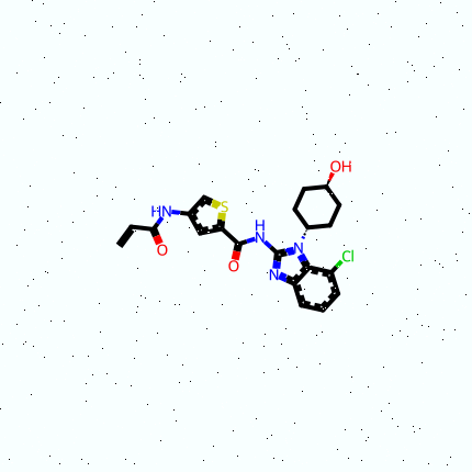 C=CC(=O)Nc1csc(C(=O)Nc2nc3cccc(Cl)c3n2[C@H]2CC[C@H](O)CC2)c1